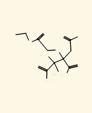 CCOC(=O)COC(CC(=O)O)(C(=O)O)C(C)(C)C(=O)O